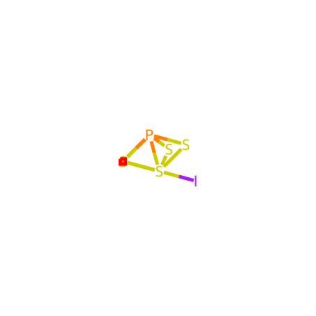 IS1234SP1(S2)(S3)S4